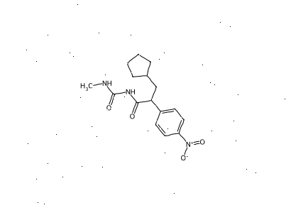 CNC(=O)NC(=O)C(CC1CCCC1)c1ccc([N+](=O)[O-])cc1